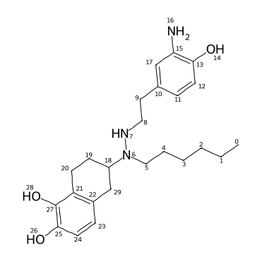 CCCCCCN(NCCc1ccc(O)c(N)c1)C1CCc2c(ccc(O)c2O)C1